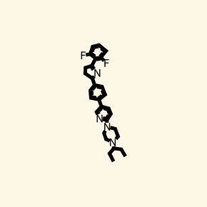 CCC(CC)N1CCN(c2ccc(-c3ccc(C4CCC(c5c(F)cccc5F)=N4)cc3)cn2)CC1